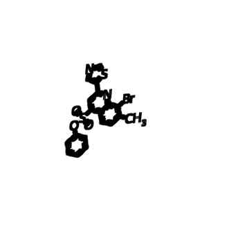 Cc1ccc2c(S(=O)(=O)Oc3ccccc3)cc(-c3cncs3)nc2c1Br